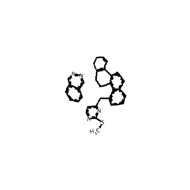 CSc1nccc(Cc2cccc3ccc4c(c23)CCC2=C4C=CCC2)n1.c1ccc2cnncc2c1